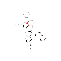 CS(=O)(=O)Nc1ccc2nc(-c3cccc(C(F)(F)F)c3)c(CN3CCC(N4CCOCC4)CC3)c(C(=O)N[C@H](c3ccccc3)C(F)(F)F)c2c1